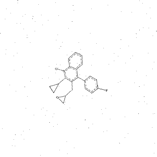 [O-][n+]1c(C2CC2)c(CC2CO2)c(-c2ccc(F)cc2)c2ccccc21